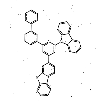 c1ccc(-c2cccc(-c3cc(-c4ccc5c(c4)sc4ccccc45)cc(-n4c5ccccc5c5ccccc54)n3)c2)cc1